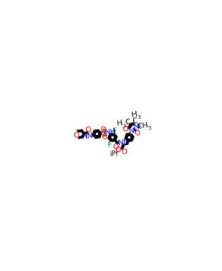 Cc1c(C)n(C)c(=O)n(-c2ccc(C[C@H](NC(=O)c3cc(F)c(NS(=O)(=O)c4ccc(NC(=O)C5CCOCC5)cc4)cc3F)C(=O)OC(C)C)cc2)c1=O